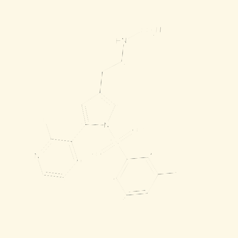 O=C(O)NCCc1cc(-c2cccnc2F)n(S(=O)(=O)c2cccc(F)c2)c1